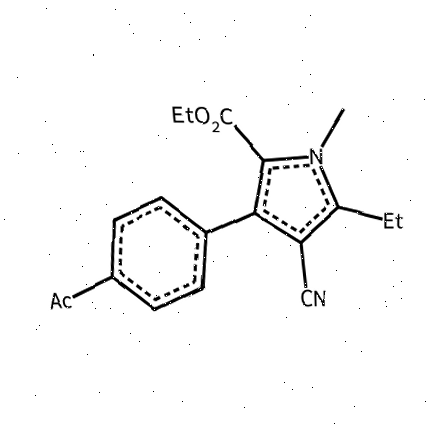 CCOC(=O)c1c(-c2ccc(C(C)=O)cc2)c(C#N)c(CC)n1C